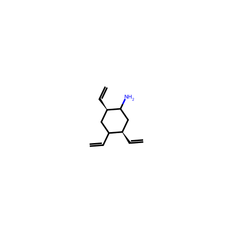 C=CC1C[C@@H](C=C)C(N)C[C@H]1C=C